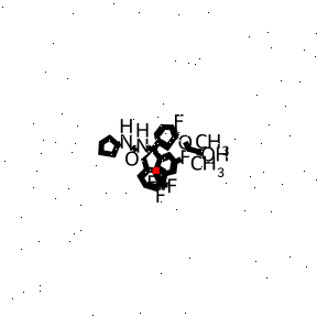 CC(C)(O)COc1cc([C@@](Cc2ccccc2)(NC(=O)NC2CCCC2)c2cc(F)cc(C(F)(F)F)c2)ccc1F